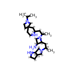 CC(C)N1CCC2(CCNC(CC(C)N3CC(N)C3CC(C)N3CC4CCNC4C3)C2)C1